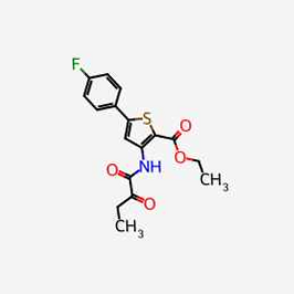 CCOC(=O)c1sc(-c2ccc(F)cc2)cc1NC(=O)C(=O)CC